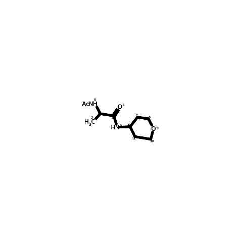 CC(=O)NC(C)C(=O)NC1CCOCC1